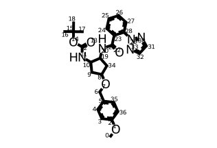 COc1ccc(COC2CC(NC(=O)OC(C)(C)C)C(NC(=O)c3ccccc3-n3nccn3)C2)cc1